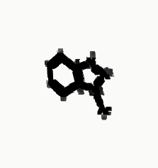 CC(=O)n1nnc2ccc[c]c21